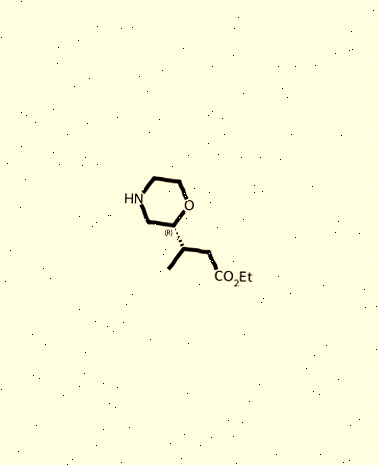 CCOC(=O)CC(C)[C@@H]1CNCCO1